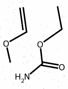 C=COC.CCOC(N)=O